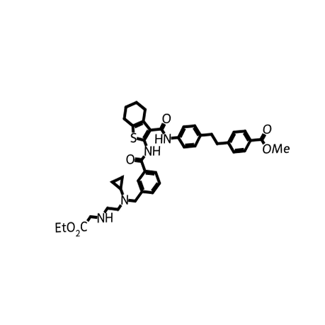 CCOC(=O)CNCCN(Cc1cccc(C(=O)Nc2sc3c(c2C(=O)Nc2ccc(CCc4ccc(C(=O)OC)cc4)cc2)CCCC3)c1)C1CC1